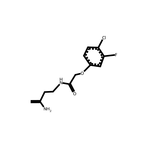 C=C(N)CCNC(=O)COc1ccc(Cl)c(F)c1